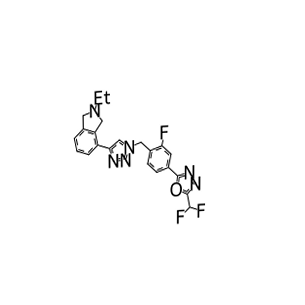 CCN1Cc2cccc(-c3cn(Cc4ccc(-c5nnc(C(F)F)o5)cc4F)nn3)c2C1